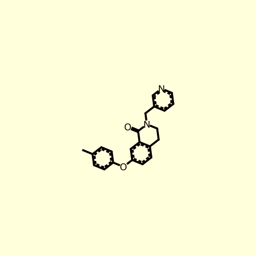 Cc1ccc(Oc2ccc3c(c2)C(=O)N(Cc2cccnc2)CC3)cc1